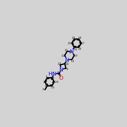 Cc1ccc(NC(=O)N2CC(N3CCN(c4ccccc4)CC3)C2)cc1